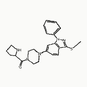 CSc1nn(-c2ccccc2)c2cc(N3CCN(C(=O)C4CCCN4)CC3)ccc12